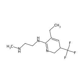 CCC1=CC(C(F)(F)F)CN=C1NCCNC